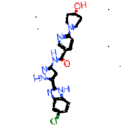 O=C(Nc1cc(-c2nc3cc(Cl)ccc3[nH]2)[nH]n1)c1ccc(N2CCC(O)CC2)nc1